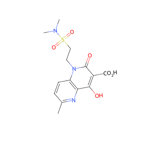 Cc1ccc2c(n1)c(O)c(C(=O)O)c(=O)n2CCS(=O)(=O)N(C)C